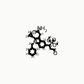 COP(=O)(OC)C(CC=O)c1ccc2c(c1)c(CC(N)=O)c(C1CC1)n2Cc1ccccc1